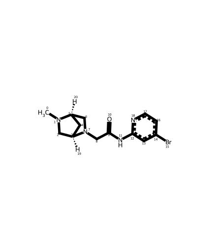 CN1C[C@H]2C[C@@H]1CN2CC(=O)Nc1cc(Br)ccn1